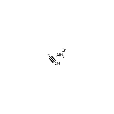 C#N.[AlH3].[Cr]